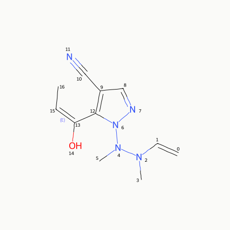 C=CN(C)N(C)n1ncc(C#N)c1/C(O)=C\C